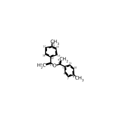 C=C(OC(=C)c1ccc(C)cc1)c1ccc(C)cc1